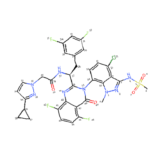 Cn1nc(NS(C)(=O)=O)c2c(Cl)ccc(-n3c([C@H](Cc4cc(F)cc(F)c4)NC(=O)Cn4ccc(C5CC5)n4)nc4c(F)ccc(F)c4c3=O)c21